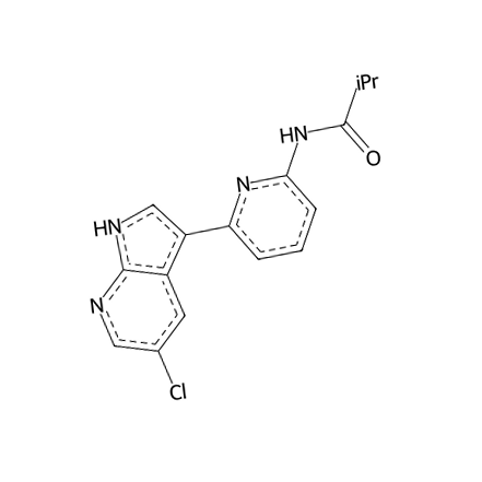 CC(C)C(=O)Nc1cccc(-c2c[nH]c3ncc(Cl)cc23)n1